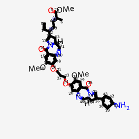 C=C/C(=C\C=C(/C)C(=O)OC)C1=CN2C(=O)c3cc(OC)c(OCCCOc4cc5c(cc4OC)C(=O)N4C=C(c6ccc(N)cc6)C[C@H]4C=N5)cc3N=C[C@@H]2C1